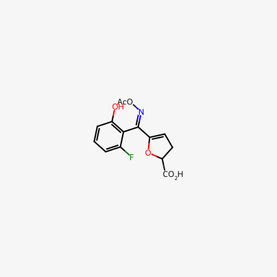 CC(=O)O/N=C(/C1=CCC(C(=O)O)O1)c1c(O)cccc1F